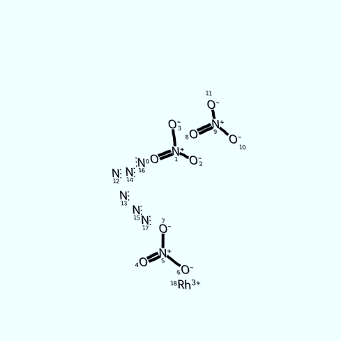 O=[N+]([O-])[O-].O=[N+]([O-])[O-].O=[N+]([O-])[O-].[N].[N].[N].[N].[N].[N].[Rh+3]